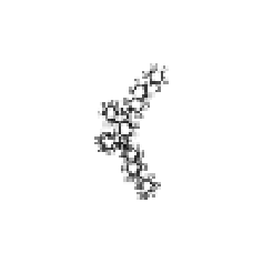 c1ccc(-c2ccc3cc(-n4c5ccccc5c5c6c7ccccc7n(-c7ccc8cc(-c9ccccc9)ccc8c7)c6ccc54)ccc3c2)cc1